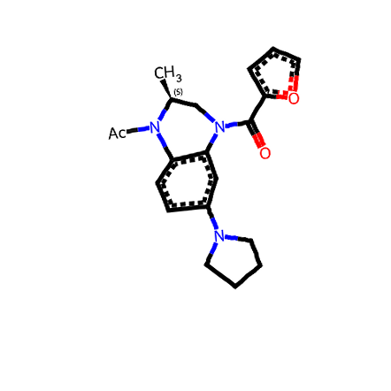 CC(=O)N1c2ccc(N3CCCC3)cc2N(C(=O)c2ccco2)C[C@@H]1C